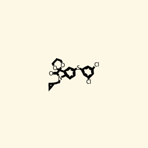 O=C1N(CC2CC2)c2ccc(Sc3cc(Cl)cc(Cl)c3)cc2C12OCCCO2